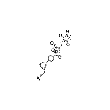 CC1(C)NC(=O)N(CC[C@H](CS(=O)(=O)c2ccc(-c3cccc(CC#N)c3)cc2)N(O)C=O)C1=O